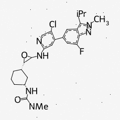 CNC(=O)N[C@@H]1CCC[C@H](C2OC2Nc2cc(-c3cc(F)c4nn(C)c(C(C)C)c4c3)c(Cl)cn2)C1